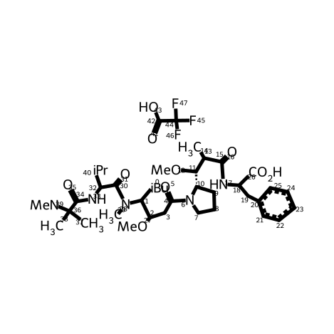 CCC(C)C(C(CC(=O)N1CCC[C@H]1C(OC)C(C)C(=O)NC(Cc1ccccc1)C(=O)O)OC)N(C)C(=O)C(NC(=O)C(C)(C)NC)C(C)C.O=C(O)C(F)(F)F